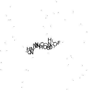 CCc1cc(F)cc(C)c1C(=O)NC(Cc1ccc(-n2cc(CNc3cc(C)ccn3)nn2)cc1)C(=O)O